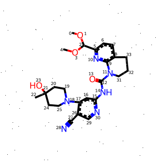 COC(OC)c1ccc2c(n1)N(C(=O)Nc1cc(N3CCC(C)(O)CC3)c(C#N)cn1)CCC2